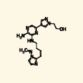 C=Nn1ccnc1/C=C\CCNc1nc(-c2cnn(CCO)c2)cnc1N